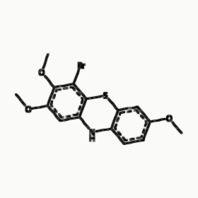 COc1ccc2c(c1)Sc1c(cc(OC)c(OC)c1Br)N2